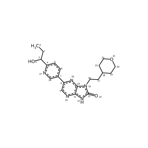 CCC(O)c1ccc(-c2cnc3[nH]c(=O)n(CCC4CCOCC4)c3n2)cn1